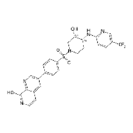 O=S(=O)(c1ccc(-c2cnc3c(O)nccc3c2)cc1)N1CC[C@@H](Nc2ccc(C(F)(F)F)cn2)[C@@H](O)C1